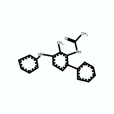 CC(=O)Nc1c(-c2ccccc2)ccc(Nc2ccccc2)c1C